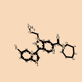 CSCn1nc(-c2cnc3ccc(F)cn23)c2cnc(C(=O)N3CCCCCC3)cc21